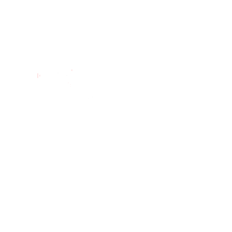 C=C(CO)C(=O)Oc1ccc(C2CCC(C3CCC(CCCCCCCCC)CC3)CC2)cc1